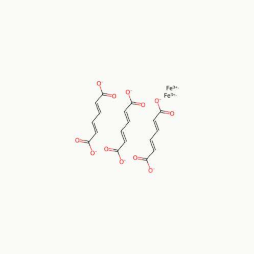 O=C([O-])C=CC=CC(=O)[O-].O=C([O-])C=CC=CC(=O)[O-].O=C([O-])C=CC=CC(=O)[O-].[Fe+3].[Fe+3]